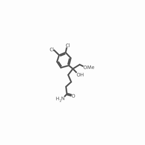 COCC(O)(CCCC(N)=O)c1ccc(Cl)c(Cl)c1